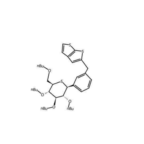 CCCCOC[C@H]1S[C@@H](c2cccc(Cc3cc4ccsc4s3)c2)[C@H](OCCCC)[C@@H](OCCCC)[C@@H]1OCCCC